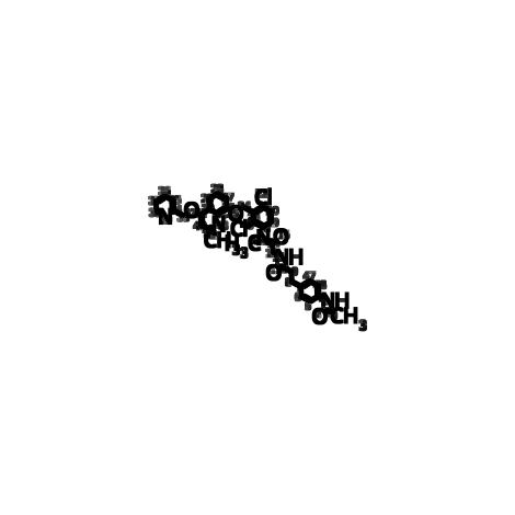 CC(=O)Nc1ccc(CCC(=O)NCC(=O)N(C)c2ccc(Cl)c(COc3cccc4c(OCc5ccccn5)cc(C)nc34)c2Cl)cc1